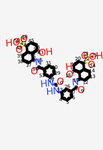 O=C(Nc1cccc(C(=O)N=C2C=CC=C3C2=C(O)C=CC3S(=O)(=O)O)c1)Nc1cccc(C(=O)N=C2C=CC=C3C2=C(O)C=CC3S(=O)(=O)O)c1